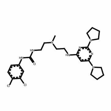 CN(CCNC(=O)Nc1ccc(Cl)c(Cl)c1)CCNc1cc(N2CCCC2)nc(N2CCCC2)n1